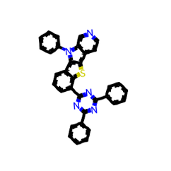 c1ccc(-c2nc(-c3ccccc3)nc(-c3cccc4c3sc3c5ccncc5n(-c5ccccc5)c43)n2)cc1